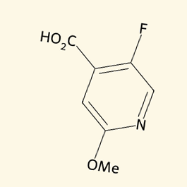 COc1cc(C(=O)O)c(F)cn1